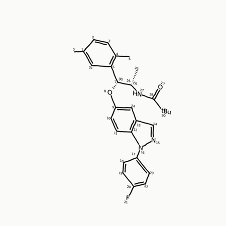 Cc1ccc(C)c([C@@H](Oc2ccc3c(cnn3-c3ccc(F)cc3)c2)[C@H](C)NC(=O)C(C)(C)C)c1